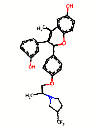 CC1=C(c2cccc(O)c2)C(c2ccc(OCC(C)N3CCC(C(F)(F)F)C3)cc2)Oc2ccc(O)cc21